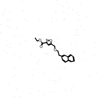 CCOC(=O)c1cc(COCCc2ccc3ccccc3c2)on1